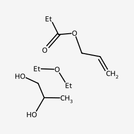 C=CCOC(=O)CC.CC(O)CO.CCOCC